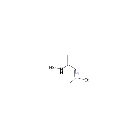 C=C(/C=C(\C)CC)NS